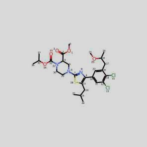 COC(=O)C1CN(c2nc(-c3cc(Cl)c(Cl)c(CC(C)OC)c3)c(CC(C)C)s2)CCN1C(=O)OC(C)C